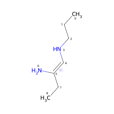 CCCN/C=C(\N)CC